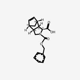 O=C(O)[C@@H]1[C@@H]2[C@H](CN1C(=O)OCc1ccccc1)[C@@H]1C=C[C@H]2C1